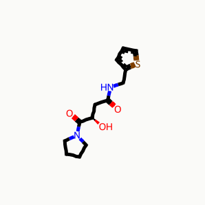 O=C(C[C@@H](O)C(=O)N1CCCC1)NCc1cccs1